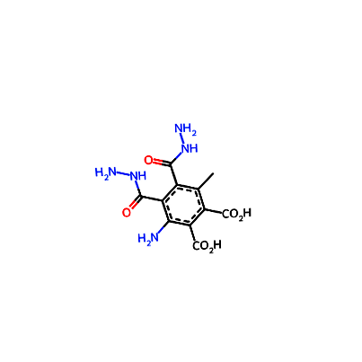 Cc1c(C(=O)O)c(C(=O)O)c(N)c(C(=O)NN)c1C(=O)NN